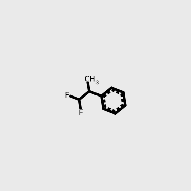 CC(c1ccccc1)C(F)F